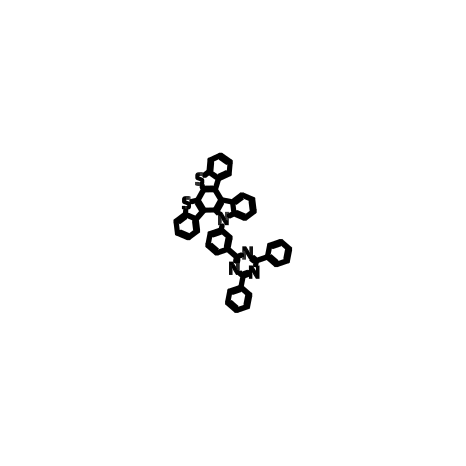 c1ccc(-c2nc(-c3ccccc3)nc(-c3cccc(-n4c5ccccc5c5c6c7ccccc7sc6c6sc7ccccc7c6c54)c3)n2)cc1